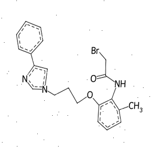 Cc1cccc(OCCCn2cnc(-c3ccccc3)c2)c1NC(=O)CBr